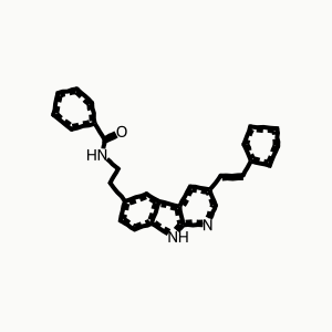 O=C(NCCc1ccc2[nH]c3ncc(C=Cc4ccccc4)cc3c2c1)c1ccccc1